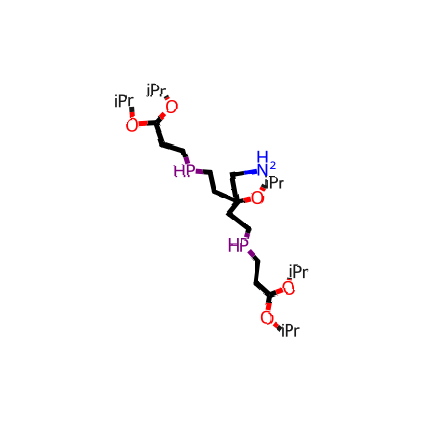 CC(C)OC(CCPCCC(CN)(CCPCCC(OC(C)C)OC(C)C)OC(C)C)OC(C)C